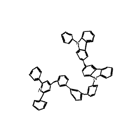 c1ccc(-c2cc(-c3cccc(-c4cccc(-c5cccc(-n6c7ccccc7c7cc(-c8ccc9c(c8)c8ccccc8n9-c8ccccc8)ccc76)c5)c4)c3)cc(-c3ccccc3)n2)cc1